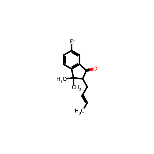 C/C=C/CC1C(=O)c2cc(CC)ccc2C1(C)C